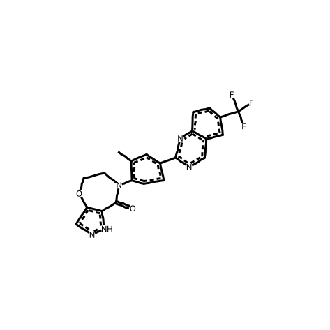 Cc1cc(-c2ncc3cc(C(F)(F)F)ccc3n2)ccc1N1CCOc2cn[nH]c2C1=O